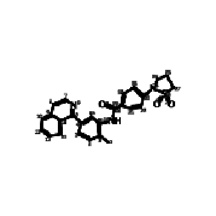 Cc1ccc(-c2nccc3ccccc23)cc1NC(=O)c1ccc(N2CCCS2(=O)=O)cc1